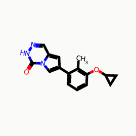 Cc1c(OC2CC2)cccc1-c1cc2cn[nH]c(=O)n2c1